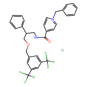 O=C(NCC(COCc1cc(C(F)(F)F)cc(C(F)(F)F)c1)c1ccccc1)c1cc[n+](Cc2ccccc2)cc1.[Cl-]